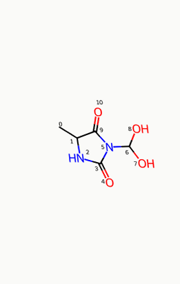 CC1NC(=O)N(C(O)O)C1=O